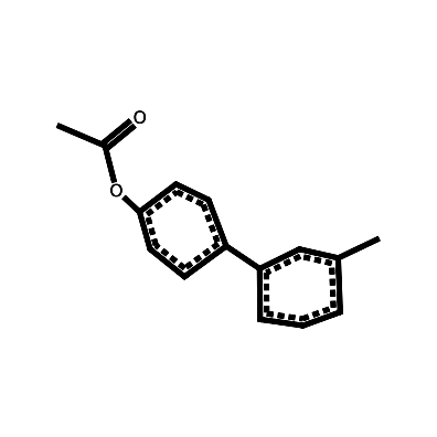 CC(=O)Oc1ccc(-c2cccc(C)c2)cc1